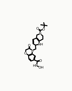 CC(C)(C)OC(=O)N1CCC2=C(C=CC(CN3C(=O)COc4ccc(C(=O)NO)cc43)N2)C1